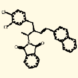 CC(C(C=Cc1ccc2ccccc2c1)Cc1ccc(Cl)c(Cl)c1)N1C(=O)c2ccccc2C1=O